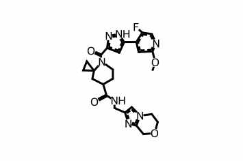 COc1cc(-c2cc(C(=O)N3CCC(C(=O)NCc4cn5c(n4)COCC5)CC34CC4)n[nH]2)c(F)cn1